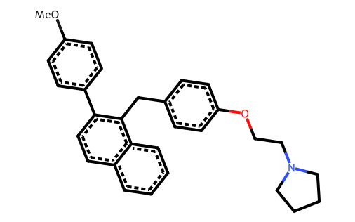 COc1ccc(-c2ccc3ccccc3c2Cc2ccc(OCCN3CCCC3)cc2)cc1